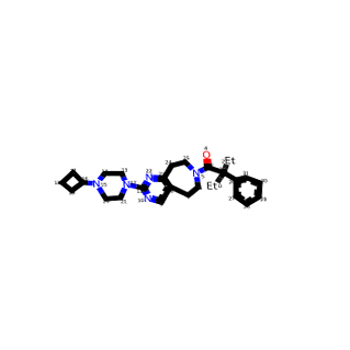 CCC(CC)(C(=O)N1CCc2cnc(N3CCN(C4CCC4)CC3)nc2CC1)c1ccccc1